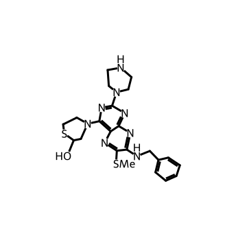 CSc1nc2c(N3CCSC(O)C3)nc(N3CCNCC3)nc2nc1NCc1ccccc1